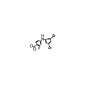 COC(=O)c1ccc(Nc2cc(C3CC3)cc(C3CC3)c2)cc1F